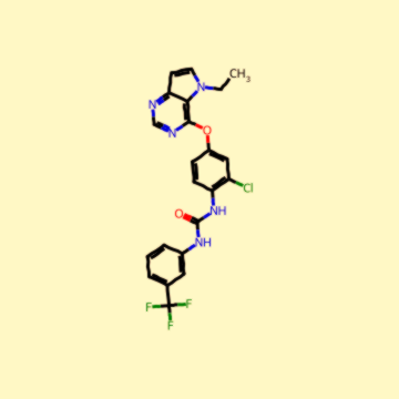 CCn1ccc2ncnc(Oc3ccc(NC(=O)Nc4cccc(C(F)(F)F)c4)c(Cl)c3)c21